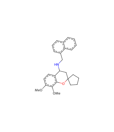 COc1ccc2c(c1OC)OC1(CCCC1)CC2NCc1cccc2ccccc12